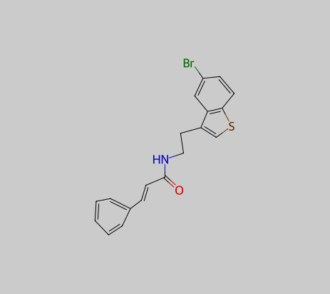 O=C(C=Cc1ccccc1)NCCc1csc2ccc(Br)cc12